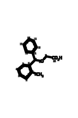 Cc1ccccc1C(OCC(=O)O)c1ccccc1